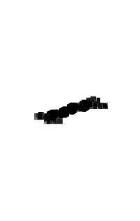 CCCCCCN(CCCC)c1ccc(N=Nc2ccc(-c3ccc(N=Nc4ccc(N(CCCC)CCCCCC)cc4)cc3)cc2)cc1